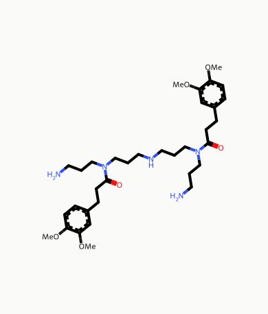 COc1ccc(CCC(=O)N(CCCN)CCCNCCCN(CCCN)C(=O)CCc2ccc(OC)c(OC)c2)cc1OC